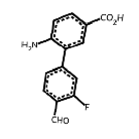 Nc1ccc(C(=O)O)cc1-c1ccc(C=O)c(F)c1